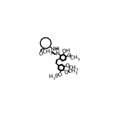 COc1ccc(/C=C\c2cc(OC)c(OC)c(OC)c2)c(N/C=C\NC2CCCCCCCC(C)(C=O)C2)c1O